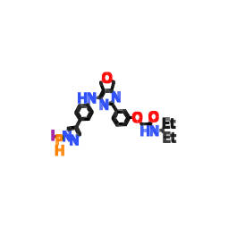 CCC(CC)NC(=O)COc1cccc(-c2nc3c(c(Nc4ccc(-c5cnn(PI)c5)cc4)n2)COC3)c1